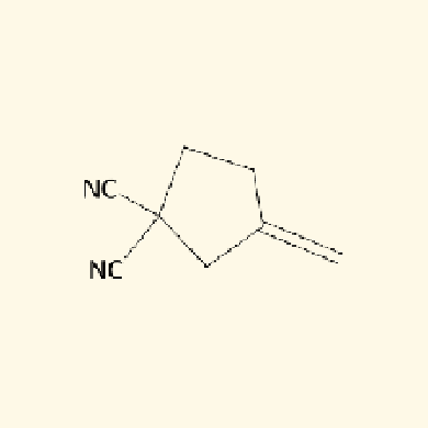 C=C1CCC(C#N)(C#N)C1